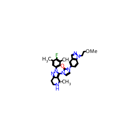 COCCn1ncc2cc(-n3ccn(-c4c5c(nn4-c4cc(C)c(F)c(C)c4)CCN[C@H]5C)c3=O)ccc21